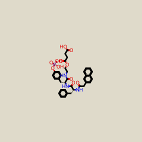 O=C(O)CCC(=O)OCCNC(=O)[C@@H](Cc1ccc(OP(=O)(O)O)cc1)NC(=O)[C@@H](Cc1ccccc1)NC(=O)Cc1ccc2ccccc2c1